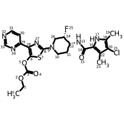 CCOC(=O)Oc1sc(N2CC[C@@H](NC(=O)c3[nH]c(C)c(Cl)c3C)[C@@H](F)C2)nc1-c1ccncn1